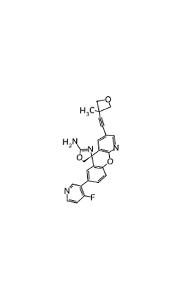 CC1(C#Cc2cnc3c(c2)[C@]2(COC(N)=N2)c2cc(-c4cnccc4F)ccc2O3)COC1